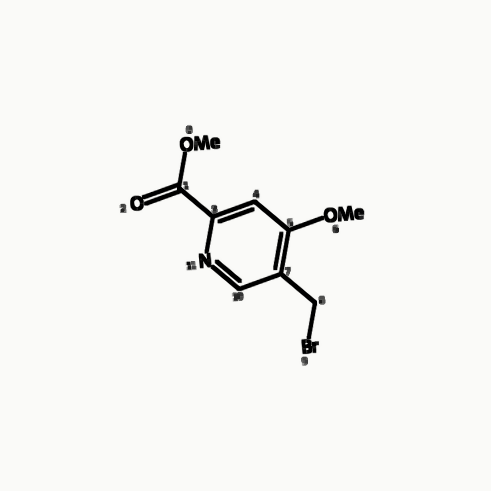 COC(=O)c1cc(OC)c(CBr)cn1